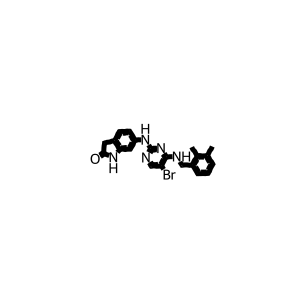 Cc1cccc(CNc2nc(Nc3ccc4c(c3)NC(=O)C4)ncc2Br)c1C